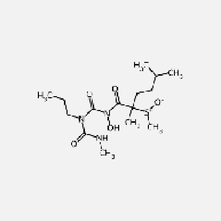 CCCN(C(=O)NC)C(=O)N(O)C(=O)C(C)(CCC(C)C)[S+](C)[O-]